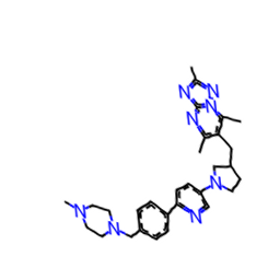 Cc1nc2nc(C)c(CC3CCN(c4ccc(-c5ccc(CN6CCN(C)CC6)cc5)nc4)C3)c(C)n2n1